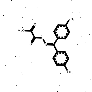 COC(=O)C(=O)ON=C(c1ccc(C)cc1)c1ccc(C)cc1